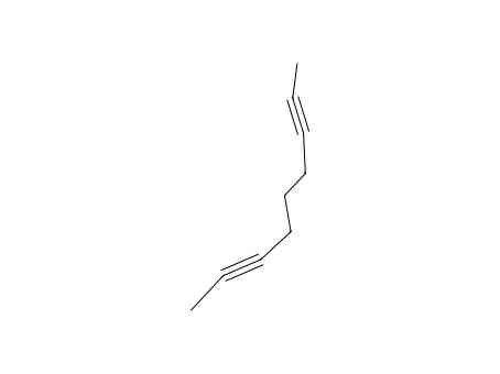 CC#CCCCC#CC